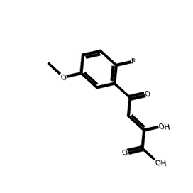 COc1ccc(F)c(C(=O)/C=C(\O)C(=O)O)c1